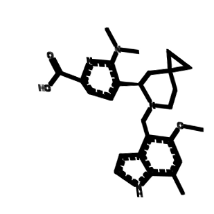 COc1cc(C)c2[nH]ccc2c1CN1CCC2(CC2)C[C@@H]1c1ccc(C(=O)O)nc1N(C)C